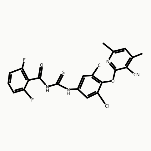 Cc1cc(C)c(C#N)c(Oc2c(Cl)cc(NC(=S)NC(=O)c3c(F)cccc3F)cc2Cl)n1